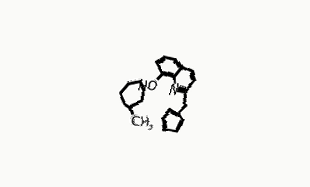 CC1CCCCCC1.Oc1cccc2ccc(Cc3ccccc3)nc12